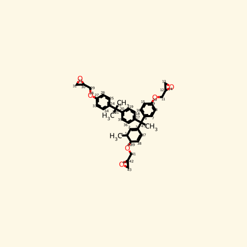 CC1C=C(C(C)(c2ccc(OCC3CO3)cc2)c2ccc(C(C)(C)c3ccc(OCC4CO4)cc3)cc2)C=CC1OCC1CO1